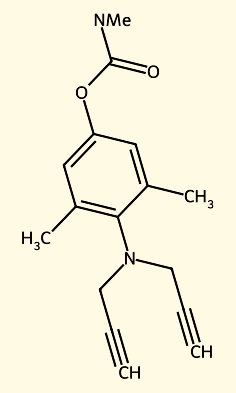 C#CCN(CC#C)c1c(C)cc(OC(=O)NC)cc1C